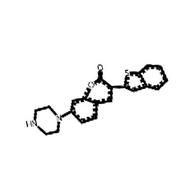 O=c1oc2cc(N3CCNCC3)ccc2cc1-c1cc2ccccc2s1